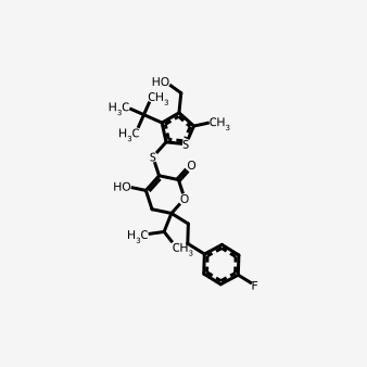 Cc1sc(SC2=C(O)CC(CCc3ccc(F)cc3)(C(C)C)OC2=O)c(C(C)(C)C)c1CO